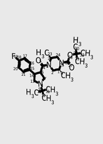 C[C@@H]1CN(C(=O)C2CN(C(C)(C)C)CC2c2ccc(F)cc2)[C@@H](C)CN1C(=O)OC(C)(C)C